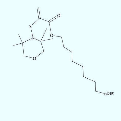 C=C(SN1C(C)(C)COCC1(C)C)C(=O)OCCCCCCCCCCCCCCCCCC